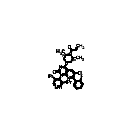 C=CC(=O)N1[C@H](C)CN(c2nc(=O)n(-c3c(C(C)C)cnnc3C(C)C)c3nc(-c4ccccc4F)c(Cl)cc23)C[C@@H]1C